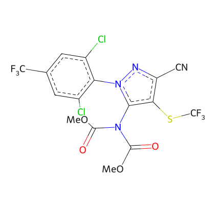 COC(=O)N(C(=O)OC)c1c(SC(F)(F)F)c(C#N)nn1-c1c(Cl)cc(C(F)(F)F)cc1Cl